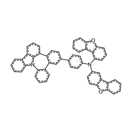 c1ccc2c(c1)-c1cc(-c3ccc(N(c4ccc5oc6ccccc6c5c4)c4cccc5oc6ccccc6c45)cc3)ccc1-c1cccc3c4ccccc4n-2c13